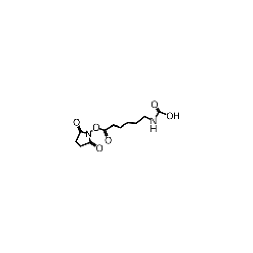 O=C(O)NCCCCCC(=O)ON1C(=O)CCC1=O